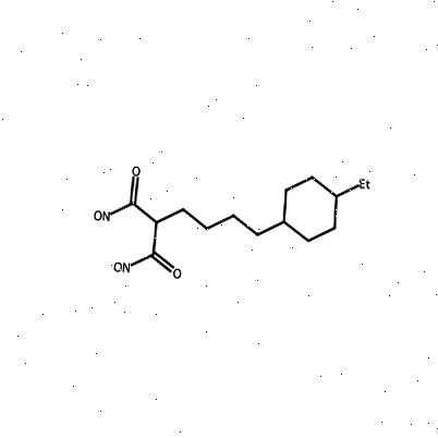 CCC1CCC(CCCCC(C(=O)N=O)C(=O)N=O)CC1